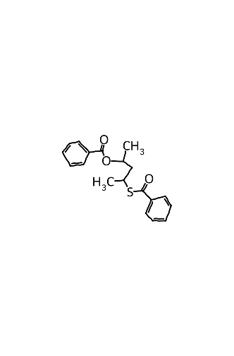 CC(CC(C)SC(=O)c1ccccc1)OC(=O)c1ccccc1